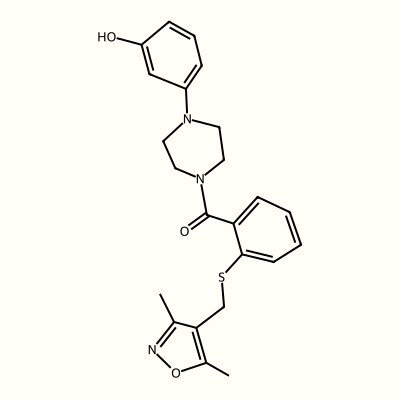 Cc1noc(C)c1CSc1ccccc1C(=O)N1CCN(c2cccc(O)c2)CC1